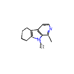 CCn1c2c(c3ccnc(C)c31)CCCC2